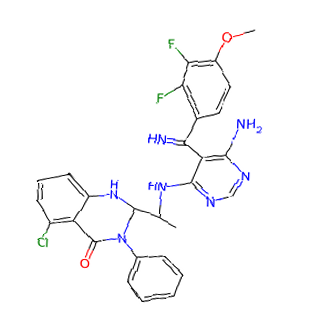 COc1ccc(C(=N)c2c(N)ncnc2NC(C)C2Nc3cccc(Cl)c3C(=O)N2c2ccccc2)c(F)c1F